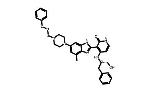 Cc1cc(N2CCN(SOOc3ccccc3)CC2)cc2[nH]c(-c3c(N[C@H](CO)Cc4ccccc4)cc[nH]c3=O)nc12